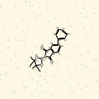 CC1(C)OB(N2C(=O)c3ccc(-c4ccccc4)cc3C2=O)OC1(C)C